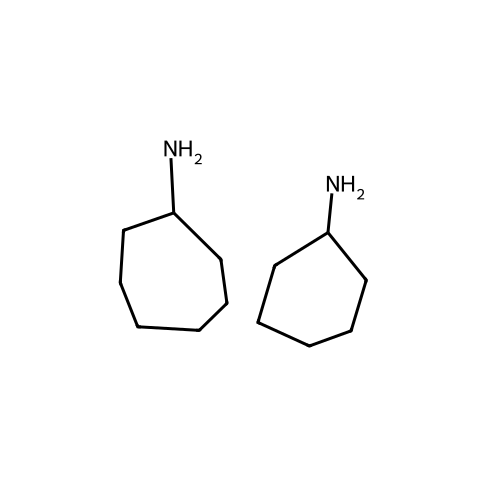 NC1CCCCC1.NC1CCCCCC1